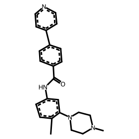 Cc1ccc(NC(=O)c2ccc(-c3ccncc3)cc2)cc1N1CCN(C)CC1